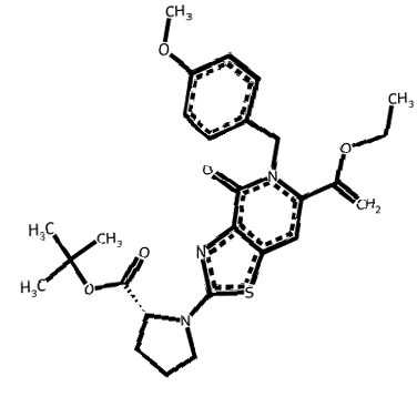 C=C(OCC)c1cc2sc(N3CCC[C@@H]3C(=O)OC(C)(C)C)nc2c(=O)n1Cc1ccc(OC)cc1